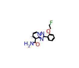 NC(=O)c1[c]ccn2nc(-c3ccccc3OCCF)nc12